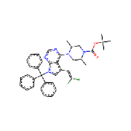 CC1CN(c2ncnc3c2c(C=C(F)F)cn3C(c2ccccc2)(c2ccccc2)c2ccccc2)C(C)CN1C(=O)OC(C)(C)C